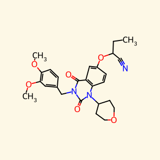 CCC(C#N)Oc1ccc2c(c1)c(=O)n(Cc1ccc(OC)c(OC)c1)c(=O)n2C1CCOCC1